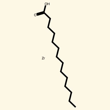 CCCCCCCCCCCCCC(=O)O.[Zr]